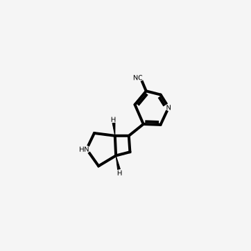 N#Cc1cncc(C2C[C@@H]3CNC[C@H]23)c1